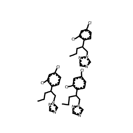 CCCC(Cn1cncn1)c1ccc(Cl)cc1Cl.CCCC(Cn1cncn1)c1ccc(Cl)cc1Cl.CCCC(Cn1cncn1)c1ccc(Cl)cc1Cl